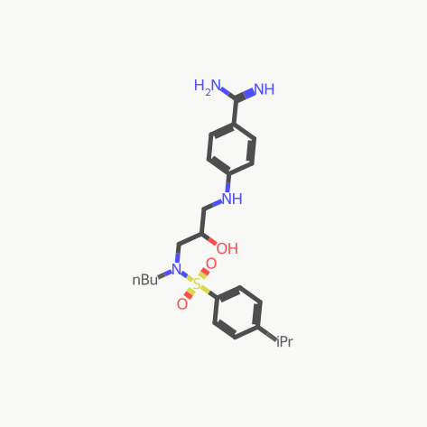 CCCCN(CC(O)CNc1ccc(C(=N)N)cc1)S(=O)(=O)c1ccc(C(C)C)cc1